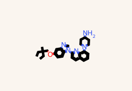 CCC(C)(CC)COc1ccc2c(c1)ncn2-c1ccc2cccc(N3CCC(N)CC3)c2n1